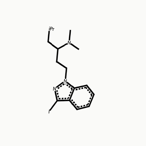 CC(C)CC(CCn1nc(I)c2ccccc21)N(C)C